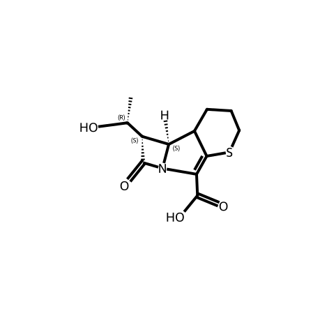 C[C@@H](O)[C@H]1C(=O)N2C(C(=O)O)=C3SCCCC3[C@H]12